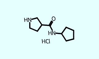 Cl.O=C(NC1CCCC1)C1CCNC1